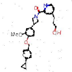 COc1cc(C2CN(C(=O)c3cc(CCCO)ccn3)C2)ccc1OCc1ccc(C2CC2)cc1